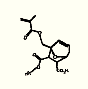 C=C(C)C(=O)OCC12C=CC(O1)C(C(=O)O)C2C(=O)OCCC